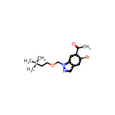 CC(=O)c1cc2c(cnn2COCC[Si](C)(C)C)cc1Br